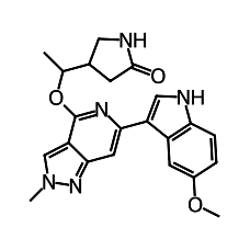 COc1ccc2[nH]cc(-c3cc4nn(C)cc4c(OC(C)C4CNC(=O)C4)n3)c2c1